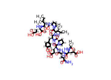 CC[C@H](C)[C@H](NC(=O)[C@@H]1CCCN1C(=O)[C@@H](NC(=O)[C@H](Cc1ccc(O)cc1)NC(=O)[C@@H]1CCCN1C(=O)[C@H](CCC(=O)O)NC(=O)[C@H](CCC(N)=O)NC(=O)[C@H](CCC(=O)O)NC(C)=O)[C@@H](C)CC)C(=O)N[C@@H](CCC(=O)O)C(=O)O